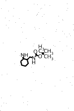 CC(C)(C)OC(=O)NCC1CCCCC1=N